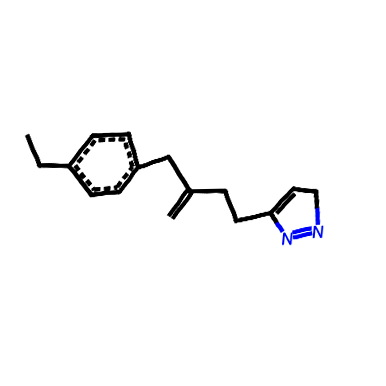 C=C(CCC1=CCN=N1)Cc1ccc(CC)cc1